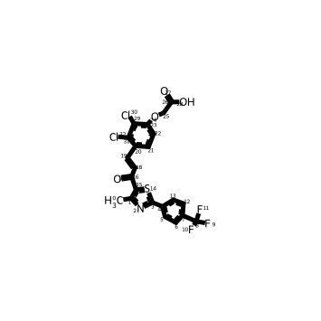 Cc1nc(-c2ccc(C(F)(F)F)cc2)sc1C(=O)/C=C/c1ccc(OCC(=O)O)c(Cl)c1Cl